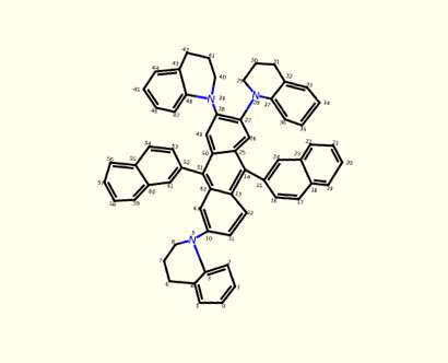 c1ccc2c(c1)CCCN2c1ccc2c(-c3ccc4ccccc4c3)c3cc(N4CCCc5ccccc54)c(N4CCCc5ccccc54)cc3c(-c3ccc4ccccc4c3)c2c1